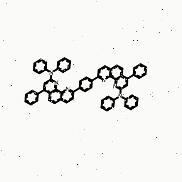 c1ccc(-c2cc(N(c3ccccc3)c3ccccc3)nc3c2ccc2ccc(-c4ccc(-c5ccc6ccc7c(-c8ccccc8)cc(N(c8ccccc8)c8ccccc8)nc7c6n5)cc4)nc23)cc1